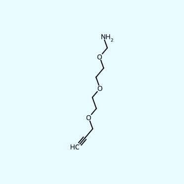 C#CCOCCOCCOCN